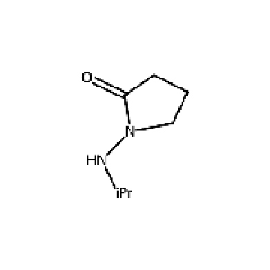 CC(C)NN1CCCC1=O